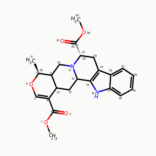 COC(=O)C1=CO[C@@H](C)C2CN3C(CC12)c1[nH]c2ccccc2c1C[C@H]3C(=O)OC